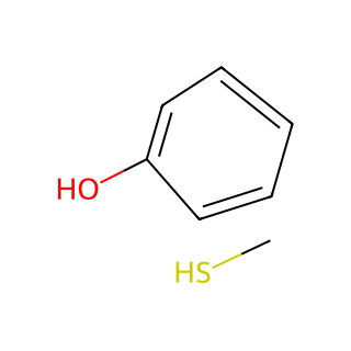 CS.Oc1ccccc1